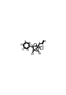 C=CC[Si]1(Cl)O[C@H](c2ccccc2)C(C)N1C